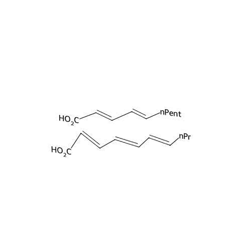 CCCC=CC=CC=CC(=O)O.CCCCCC=CC=CC(=O)O